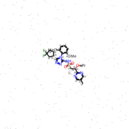 COc1cccc(OC)c1-n1c(NS(=O)(=O)[C@@H](C)[C@@H](OC(C)C)c2ncc(C)cn2)nnc1[C@H]1CCC(F)(F)C1